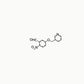 O=Cc1cc(OCc2cccnc2)ccc1[N+](=O)[O-]